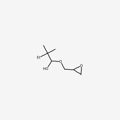 CCC(C)(C)C(O)OCC1CO1